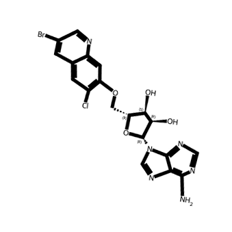 Nc1ncnc2c1ncn2[C@@H]1O[C@H](COc2cc3ncc(Br)cc3cc2Cl)[C@@H](O)[C@H]1O